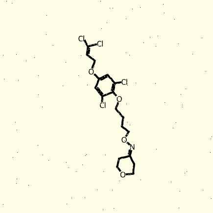 ClC(Cl)=CCOc1cc(Cl)c(OCCCCON=C2CCOCC2)c(Cl)c1